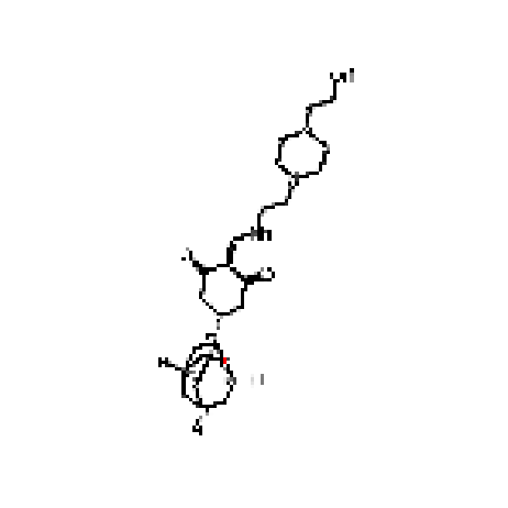 O=C1CC([C@@]23C[C@@H]4C[C@@H](CC[C@@H](C4)C2)C3)CC(=O)C1=CNCCN1CCN(CCO)CC1